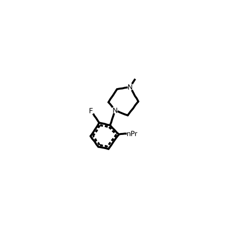 CCCc1cccc(F)c1N1CCN(C)CC1